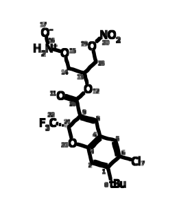 CC(C)(C)c1cc2c(cc1Cl)C=C(C(=O)OC(CO[NH2+][O-])CO[N+](=O)[O-])[C@@H](C(F)(F)F)O2